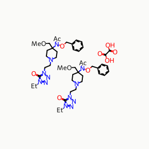 CCn1nnn(CCN2CCC(COC)(N(OCc3ccccc3)C(C)=O)CC2)c1=O.CCn1nnn(CCN2CCC(COC)(N(OCc3ccccc3)C(C)=O)CC2)c1=O.O=C(O)C(=O)O